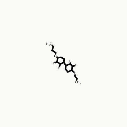 CCCCOC1CCC(C2CCC(OCCC)C(F)C2F)C(F)C1F